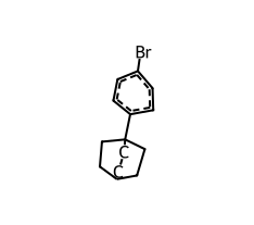 Brc1ccc(C23CCC(CC2)CC3)cc1